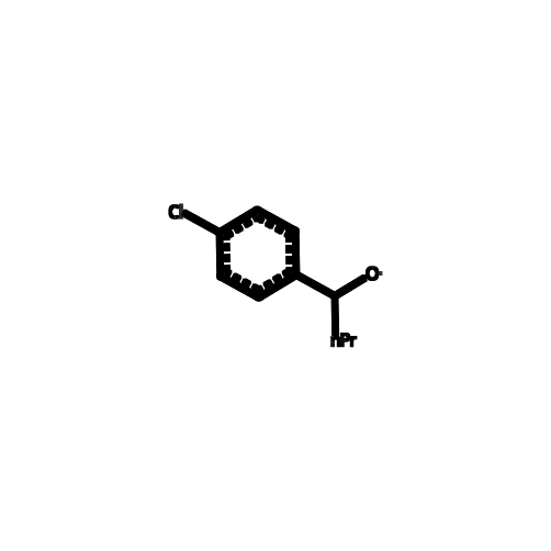 CCCC([O])c1ccc(Cl)cc1